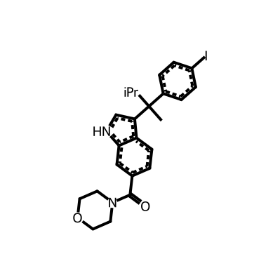 CC(C)C(C)(c1ccc(I)cc1)c1c[nH]c2cc(C(=O)N3CCOCC3)ccc12